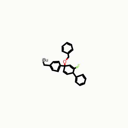 CCC(C)Cc1ccc(C2(OCc3ccccc3)C=CC(c3ccccc3)C(F)=C2)cc1